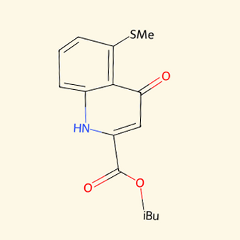 CCC(C)OC(=O)c1cc(=O)c2c(SC)cccc2[nH]1